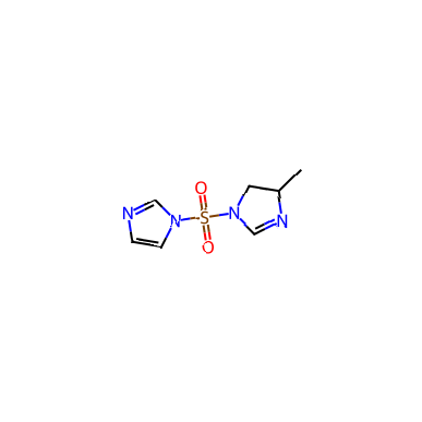 CC1CN(S(=O)(=O)n2ccnc2)C=N1